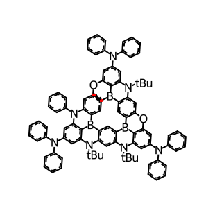 CC(C)(C)N1c2cc3c(cc2B2c4ccccc4Oc4cc(N(c5ccccc5)c5ccccc5)cc1c42)B1c2cc4c(cc2N(C(C)(C)C)c2cc(N(c5ccccc5)c5ccccc5)cc(c21)O3)N(C(C)(C)C)c1cc(N(c2ccccc2)c2ccccc2)cc2c1B4c1ccccc1N2c1ccccc1